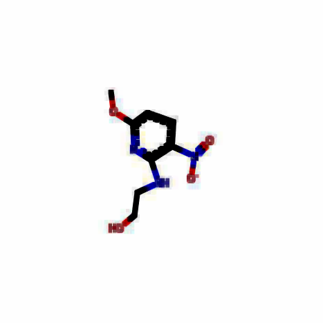 COc1ccc([N+](=O)[O-])c(NCCO)n1